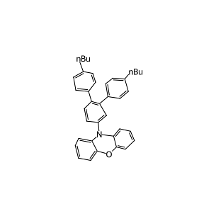 CCCCc1ccc(-c2ccc(N3c4ccccc4Oc4ccccc43)cc2-c2ccc(CCCC)cc2)cc1